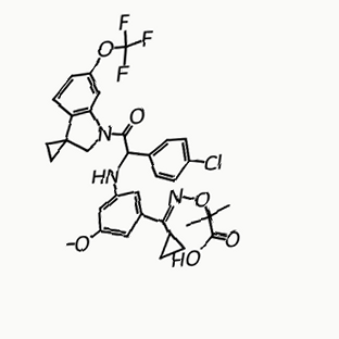 COc1cc(NC(C(=O)N2CC3(CC3)c3ccc(OC(F)(F)F)cc32)c2ccc(Cl)cc2)cc(C(=NOC(C)(C)C(=O)O)C2CC2)c1